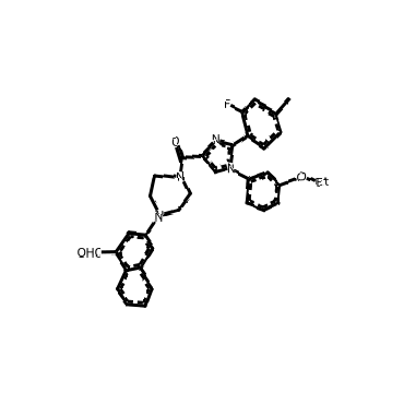 CCOc1cccc(-n2cc(C(=O)N3CCN(c4cc(C=O)c5ccccc5c4)CC3)nc2-c2ccc(C)cc2F)c1